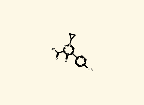 Cc1ccc(-c2cn(C3CC3)nc(C(=O)O)c2=O)cc1